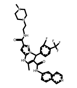 CC1=C(C(=O)Nc2ccc3cnccc3c2)C(c2ccc(C(F)(F)F)c(F)c2)n2nc(C(=O)NCCN3CCN(C)CC3)cc2N1